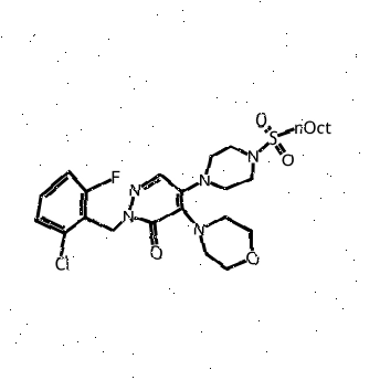 CCCCCCCCS(=O)(=O)N1CCN(c2cnn(Cc3c(F)cccc3Cl)c(=O)c2N2CCOCC2)CC1